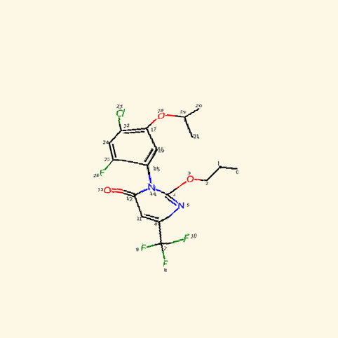 CCCOc1nc(C(F)(F)F)cc(=O)n1-c1cc(OC(C)C)c(Cl)cc1F